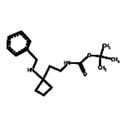 CC(C)(C)OC(=O)NCCC1(NCc2ccccc2)CCC1